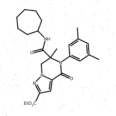 CCOC(=O)c1cc2n(n1)CC(C)(C(=O)NC1CCCCCC1)N(c1cc(C)cc(C)c1)C2=O